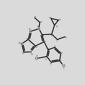 CCC(c1c(-c2ccc(Cl)cc2Cl)c2ncnc-2nn1CC)C1CC1